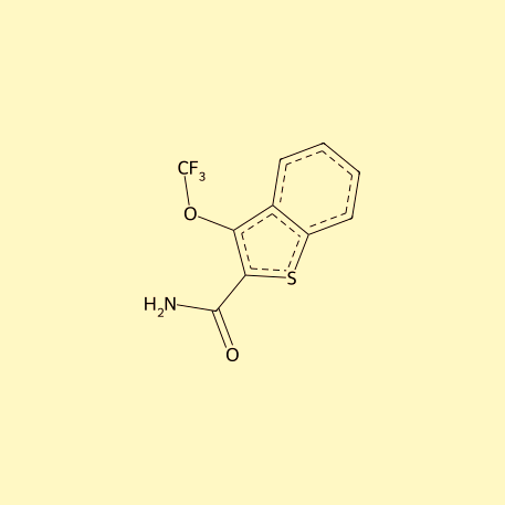 NC(=O)c1sc2ccccc2c1OC(F)(F)F